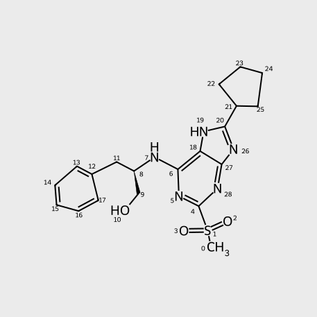 CS(=O)(=O)c1nc(N[C@@H](CO)Cc2ccccc2)c2[nH]c(C3CCCC3)nc2n1